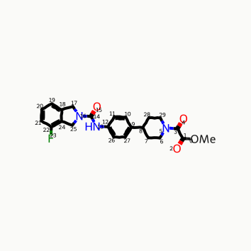 COC(=O)C(=O)N1CCC(c2ccc(NC(=O)N3Cc4cccc(F)c4C3)cc2)CC1